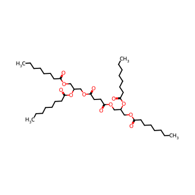 CCCCCCCC(=O)OCC(COC(=O)CCC(=O)OCC(COC(=O)CCCCCCC)OC(=O)CCCCCCC)OC(=O)CCCCCCC